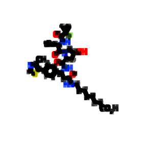 Cc1ncsc1-c1ccc(C(CC(=O)NCCCCCCCC(=O)O)NC(=O)[C@@H]2C[C@@H](O)CN2C(=O)C(NC(=O)C2(F)CC2)C(C)(C)C)cc1